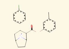 Cc1cccc(OC(=O)C2C3CCC(C[C@@H]2c2ccc(Cl)cc2)N3C)c1